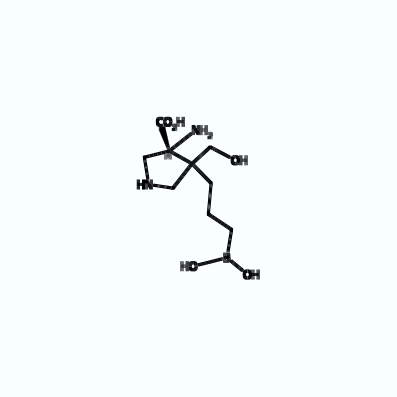 N[C@@]1(C(=O)O)CNCC1(CO)CCCB(O)O